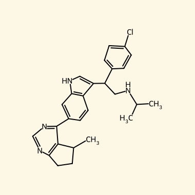 CC(C)NCC(c1ccc(Cl)cc1)c1c[nH]c2cc(-c3ncnc4c3C(C)CC4)ccc12